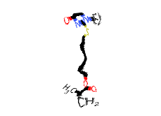 C=C(C)C(=O)OCCCCCCSc1nc(=O)ccn1CC